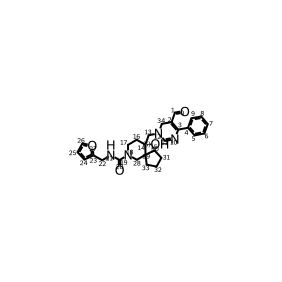 O=CC1=C(c2ccccc2)N=CN(C[C@]2(O)CCN(C(=O)NCc3ccco3)CC23CCCC3)C1